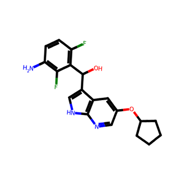 Nc1ccc(F)c(C(O)c2c[nH]c3ncc(OC4CCCC4)cc23)c1F